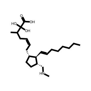 CCCCCC/C=C/[C@@H]1[C@@H](C/C=C\CC(C)C(O)(O)C(=O)O)CC[C@H]1CNC